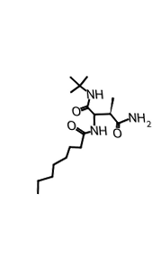 CCCCCCCC(=O)NC(C(=O)NC(C)(C)C)[C@@H](C)C(N)=O